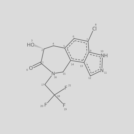 O=C1[C@H](O)Cc2cc(Cl)c3[nH]ncc3c2CN1CC(F)(F)F